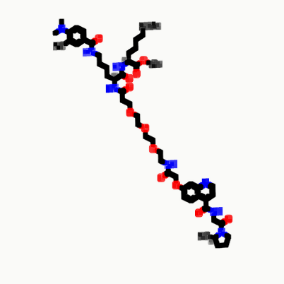 CC(=O)NCCCC[C@H](NC(=O)[C@H](CCCCNC(=O)c1ccc(N(C)C)c(C#N)c1)NC(=O)CCOCCOCCOCCNC(=O)COc1ccc2c(C(=O)NCC(=O)N3CCC[C@H]3C#N)ccnc2c1)C(=O)OC(C)(C)C